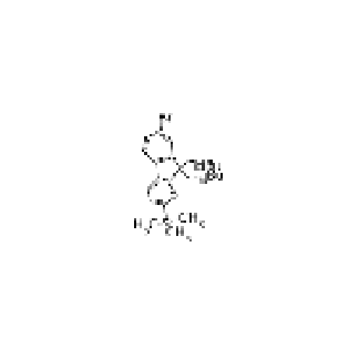 CC[C@H](C)CC1(C[C@@H](C)CC)c2cc(Br)ccc2-c2ccc([Si](C)(C)C)cc21